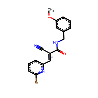 COc1cccc(CNC(=O)/C(C#N)=C/c2cccc(Br)n2)c1